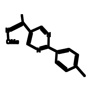 CO/N=C(/C)c1cnc(-c2ccc(C)cc2)nc1